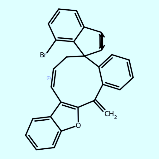 C=C1c2ccccc2C2(C/C=C\c3c1oc1ccccc31)c1ccccc1-c1cccc(Br)c12